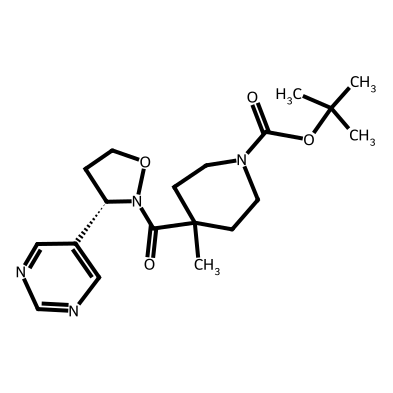 CC(C)(C)OC(=O)N1CCC(C)(C(=O)N2OCC[C@H]2c2cncnc2)CC1